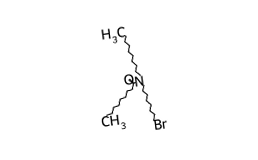 CCCCCCCCCCN(CCCCCCCCBr)C(=O)CCCCCCCCC